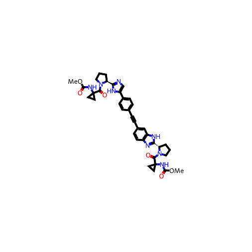 COC(=O)NC1(C(=O)N2CCC[C@H]2c2ncc(-c3ccc(C#Cc4ccc5nc([C@@H]6CCCN6C(=O)C6(NC(=O)OC)CC6)[nH]c5c4)cc3)[nH]2)CC1